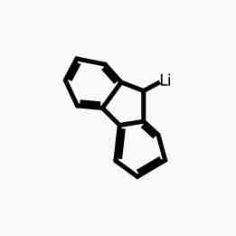 [Li][CH]1c2ccccc2-c2ccccc21